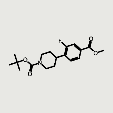 COC(=O)c1ccc(C2CCN(C(=O)OC(C)(C)C)CC2)c(F)c1